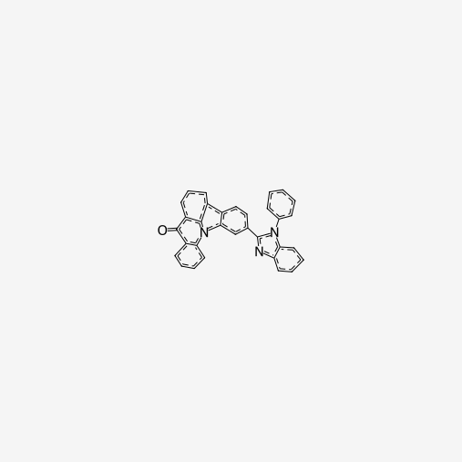 O=c1c2ccccc2n2c3cc(-c4nc5ccccc5n4-c4ccccc4)ccc3c3cccc1c32